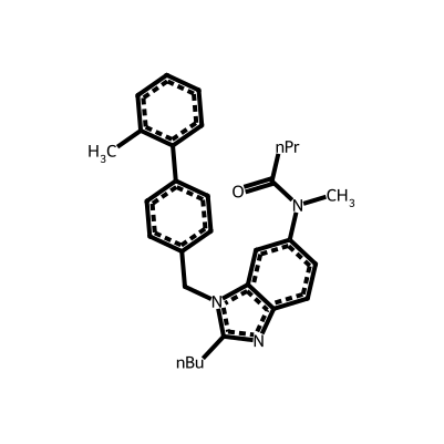 CCCCc1nc2ccc(N(C)C(=O)CCC)cc2n1Cc1ccc(-c2ccccc2C)cc1